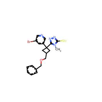 Cn1c(S)nnc1C1(c2cncc(Br)c2)CC(COCc2ccccc2)C1